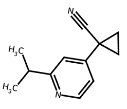 CC(C)c1cc(C2(C#N)CC2)ccn1